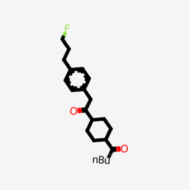 CCCCC(=O)C1CCC(C(=O)Cc2ccc(CCCF)cc2)CC1